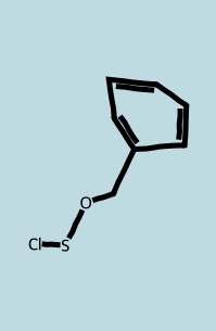 ClSOCc1ccccc1